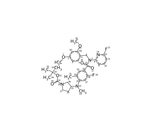 COc1ccc(CN(c2cccc(F)n2)S(=O)(=O)c2cc(C)c(N(C)C3CCN(C(=O)OC(C)(C)C)C3)cc2F)c(OC)c1